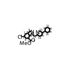 COC(=O)c1cc(Cl)cc2cnn(Cc3ccc(-c4ccccc4)cn3)c12